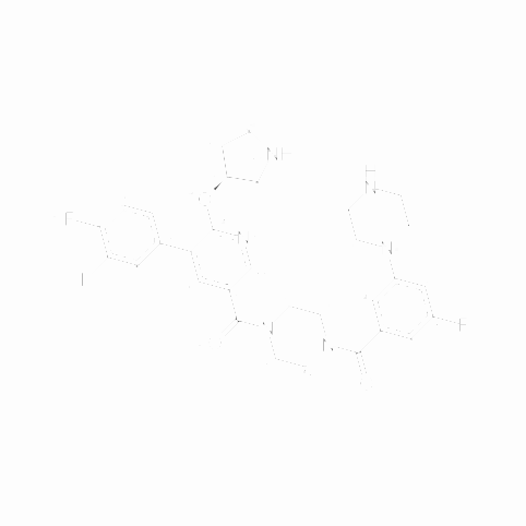 O=C(c1cc(F)cc(N2CCNCC2)c1)N1CCN(C(=O)c2cnc(O[C@H]3CCNC3)c(-c3ccc(F)c(F)c3)c2)CC1